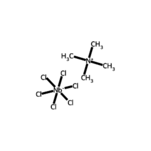 C[N+](C)(C)C.[Cl][Nb-]([Cl])([Cl])([Cl])([Cl])[Cl]